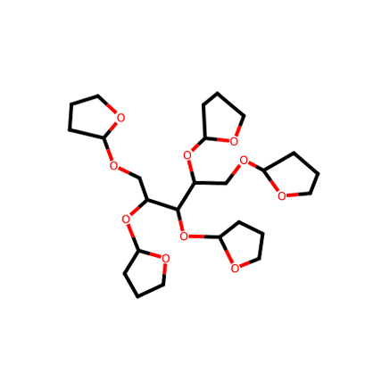 C1COC(OCC(OC2CCCO2)C(OC2CCCO2)C(COC2CCCO2)OC2CCCO2)C1